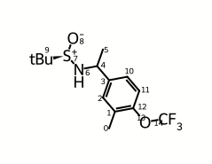 Cc1cc(C(C)N[S@+]([O-])C(C)(C)C)ccc1OC(F)(F)F